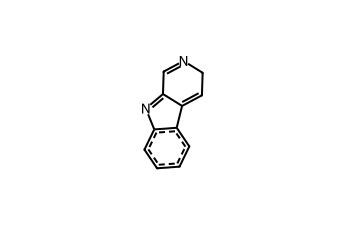 C1=NCC=C2C1=Nc1ccccc12